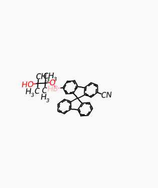 CC(C)(O)C(C)(C)OBc1ccc2c(c1)C1(c3ccccc3-c3ccccc31)c1cc(C#N)ccc1-2